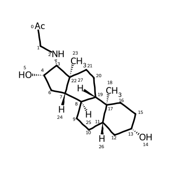 CC(=O)CN[C@H]1[C@@H](O)C[C@H]2[C@@H]3CC[C@H]4C[C@@H](O)CC[C@]4(C)[C@H]3CC[C@@]21C